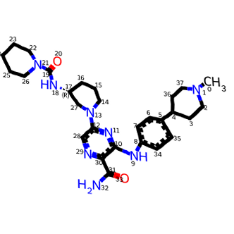 CN1CCC(c2ccc(Nc3nc(N4CCC[C@@H](NC(=O)N5CCCCC5)C4)cnc3C(N)=O)cc2)CC1